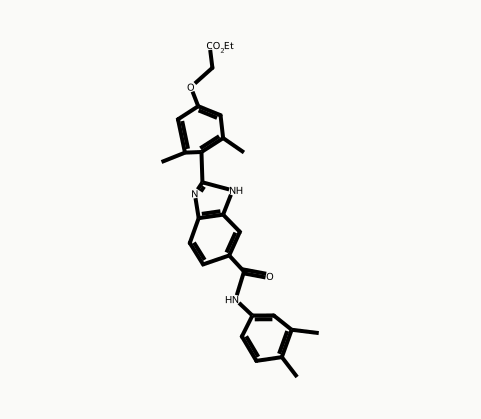 CCOC(=O)COc1cc(C)c(-c2nc3ccc(C(=O)Nc4ccc(C)c(C)c4)cc3[nH]2)c(C)c1